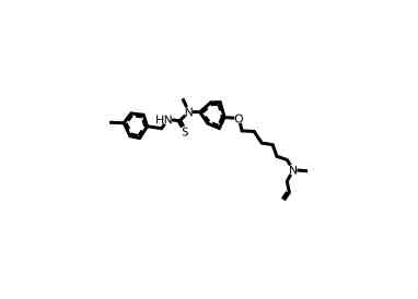 C=CCN(C)CCCCCCOc1ccc(N(C)C(=S)NCc2ccc(C)cc2)cc1